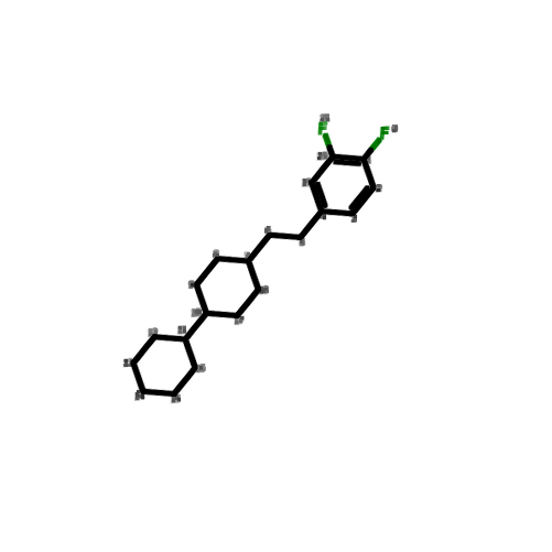 Fc1ccc(CCC2CCC(C3CC[CH]CC3)CC2)cc1F